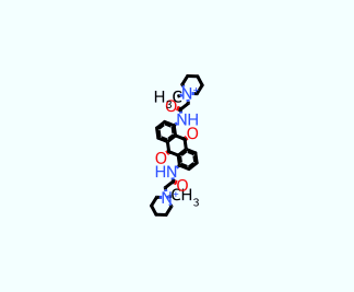 C[N+]1(CC(=O)Nc2cccc3c2C(=O)c2cccc(NC(=O)C[N+]4(C)CCCCC4)c2C3=O)CCCCC1